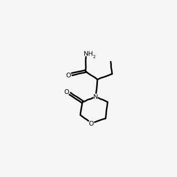 CCC(C(N)=O)N1CCOCC1=O